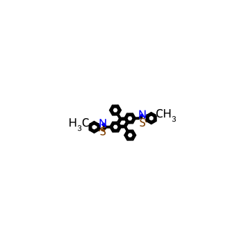 Cc1ccc2sc(-c3ccc4c(-c5ccccc5)c5cc(-c6nc7cc(C)ccc7s6)ccc5c(-c5ccccc5)c4c3)nc2c1